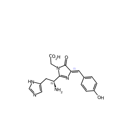 N[C@@H](Cc1cnc[nH]1)C1=N/C(=C\c2ccc(O)cc2)C(=O)N1CC(=O)O